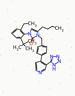 CCCCc1cn(-c2c(CC)cccc2C(C)(C)C)c(=O)n1Cc1ccc(-c2ccncc2-c2nnn[nH]2)cc1